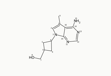 Cc1cn(C2CC(CO)C2)c2ncnc(N)c12